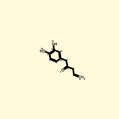 C=CCC(=O)Cc1ccc(O)c(O)c1